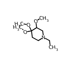 CCN1CCC(OC)(OC)C(OC)C1